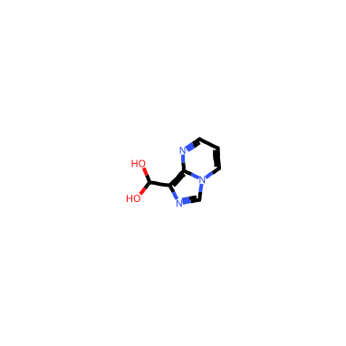 OC(O)c1ncn2cccnc12